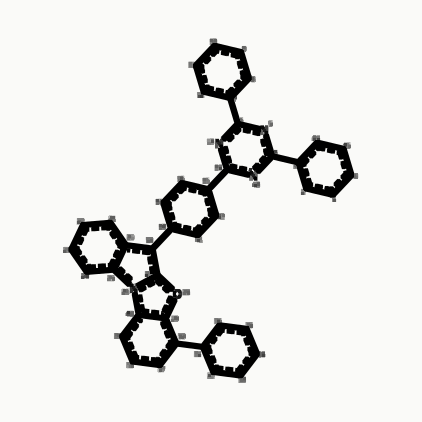 c1ccc(-c2nc(-c3ccccc3)nc(-c3ccc(-c4c5ccccc5n5c4oc4c(-c6ccccc6)cccc45)cc3)n2)cc1